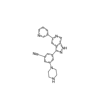 N#Cc1cc(-c2n[nH]c3cnc(-c4cccnc4)cc23)cc(N2CCNCC2)c1